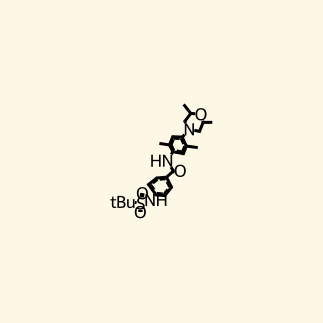 Cc1cc(N2CC(C)OC(C)C2)c(C)cc1NC(=O)c1ccc(NS(=O)(=O)C(C)(C)C)cc1